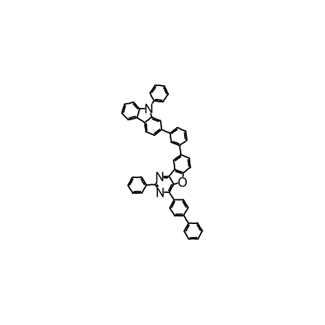 c1ccc(-c2ccc(-c3nc(-c4ccccc4)nc4c3oc3ccc(-c5cccc(-c6ccc7c8ccccc8n(-c8ccccc8)c7c6)c5)cc34)cc2)cc1